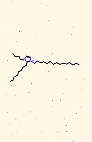 CCCCCCCCCCCCCCC[n+]1ccn(CCCC)c1CCCCCCCC